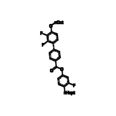 CCCCCCCCOc1ccc(-c2ccc(C(=O)Oc3ccc(CCCCCCC)c(F)c3)cc2)c(F)c1F